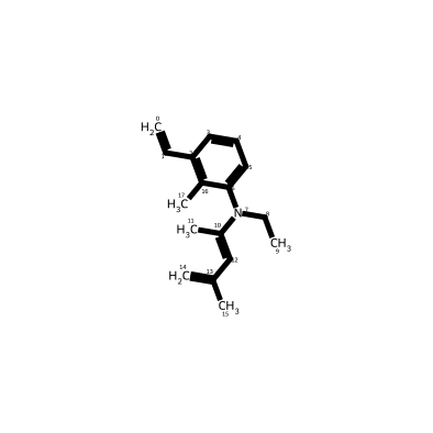 C=Cc1cccc(N(CC)/C(C)=C/C(=C)C)c1C